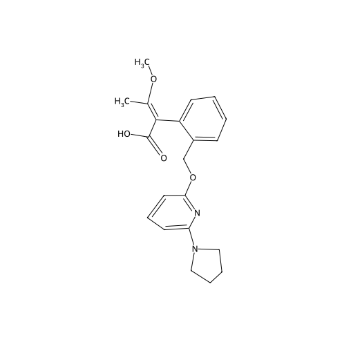 COC(C)=C(C(=O)O)c1ccccc1COc1cccc(N2CCCC2)n1